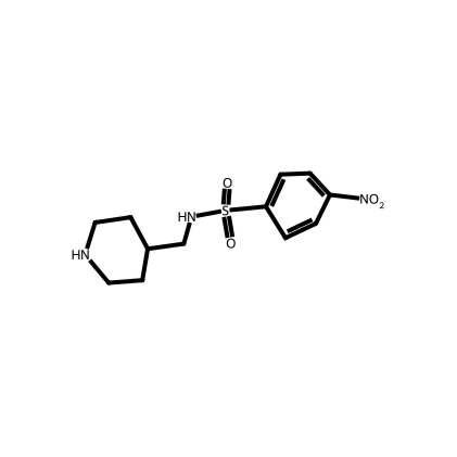 O=[N+]([O-])c1ccc(S(=O)(=O)NCC2CCNCC2)cc1